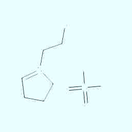 CCCCCCCCC[N+]1=CCCC1.CS(=O)(=O)[O-]